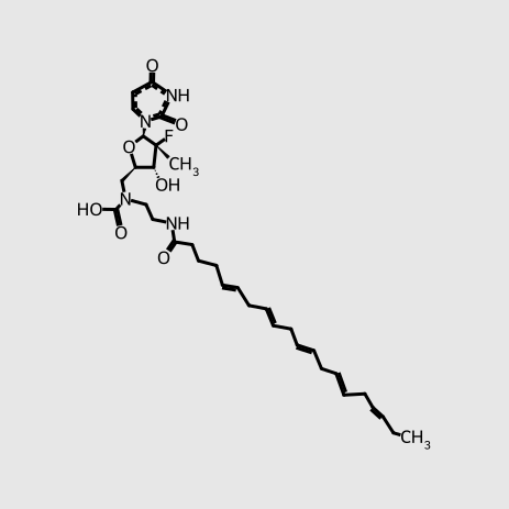 CCC=CCC=CCC=CCC=CCC=CCCCC(=O)NCCN(C[C@H]1O[C@@H](n2ccc(=O)[nH]c2=O)[C@](C)(F)[C@@H]1O)C(=O)O